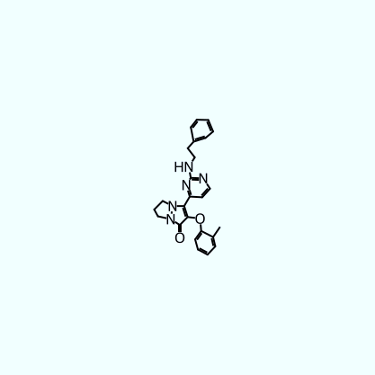 Cc1ccccc1Oc1c(-c2ccnc(NCCc3ccccc3)n2)n2n(c1=O)CCC2